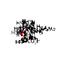 CSCC[C@H](N)C(=O)NCC(=O)N[C@@H](Cc1c[nH]cn1)C(=O)N[C@@H](Cc1c[nH]cn1)C(=O)N[C@@H](Cc1c[nH]cn1)C(=O)N[C@@H](CO)C(=O)N[C@@H](Cc1c[nH]cn1)C(=O)N[C@@H](Cc1c[nH]cn1)C(=O)N[C@@H](Cc1c[nH]cn1)C(=O)O